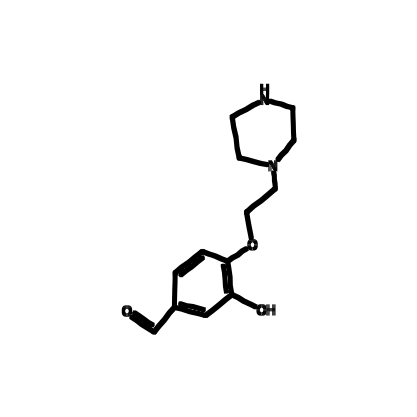 O=Cc1ccc(OCCN2CCNCC2)c(O)c1